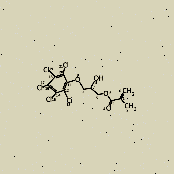 C=C(C)C(=O)OCC(O)COc1c(Cl)c(Cl)c(Cl)c(Cl)c1Cl